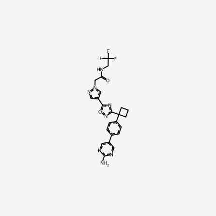 Nc1ncc(-c2ccc(C3(c4noc(-c5cnn(CC(=O)NCC(F)(F)F)c5)n4)CCC3)cc2)cn1